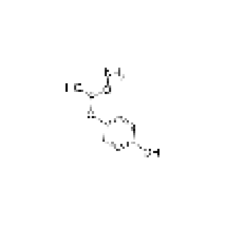 NOP(O)Oc1ccc(O)cc1